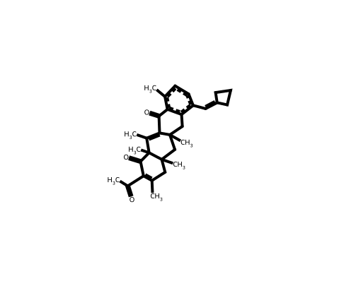 CC(=O)C1=C(C)CC2(C)CC3(C)Cc4c(C=C5CCC5)ccc(C)c4C(=O)C3=C(C)C2(C)C1=O